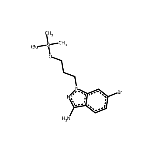 CC(C)(C)[Si](C)(C)OCCCn1nc(N)c2ccc(Br)cc21